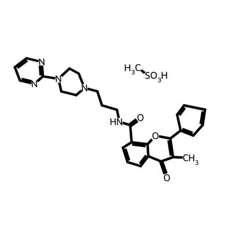 CS(=O)(=O)O.Cc1c(-c2ccccc2)oc2c(C(=O)NCCCN3CCN(c4ncccn4)CC3)cccc2c1=O